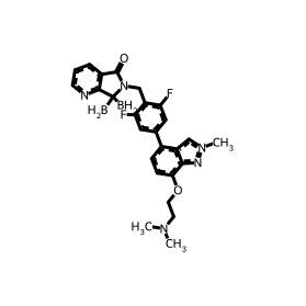 BC1(B)c2ncccc2C(=O)N1Cc1c(F)cc(-c2ccc(OCCN(C)C)c3nn(C)cc23)cc1F